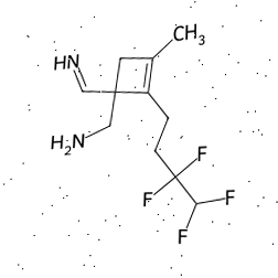 CC1=C(CCC(F)(F)C(F)F)C(C=N)(CN)C1